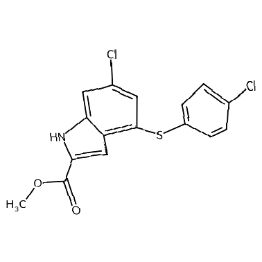 COC(=O)c1cc2c(Sc3ccc(Cl)cc3)cc(Cl)cc2[nH]1